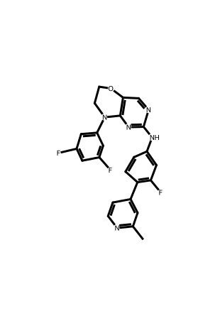 Cc1cc(-c2ccc(Nc3ncc4c(n3)N(c3cc(F)cc(F)c3)CCO4)cc2F)ccn1